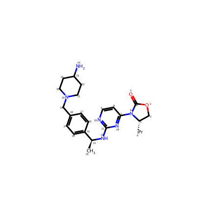 CC(C)[C@H]1COC(=O)N1c1ccnc(N[C@@H](C)c2ccc(CN3CCC(N)CC3)cc2)n1